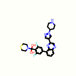 OC(O)(c1c(F)cc(-c2cccc3ncc(-c4cnn(C5CCNCC5)c4)nc23)cc1F)N1CCSCC1